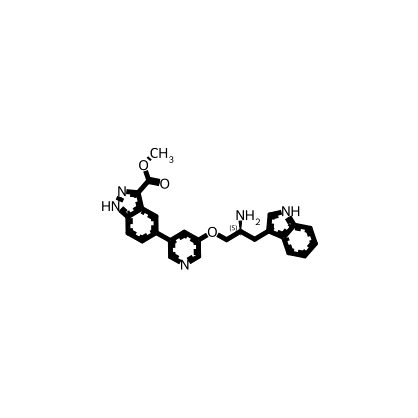 COC(=O)c1n[nH]c2ccc(-c3cncc(OC[C@@H](N)Cc4c[nH]c5ccccc45)c3)cc12